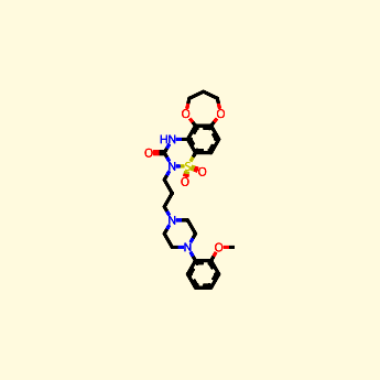 COc1ccccc1N1CCN(CCCN2C(=O)Nc3c(ccc4c3OCCCO4)S2(=O)=O)CC1